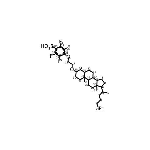 CC(C)CCCC(C)C1CCC2C3CCC4CC(OCCOc5c(F)c(F)c(S(=O)(=O)O)c(F)c5F)CCC4(C)C3CCC12C